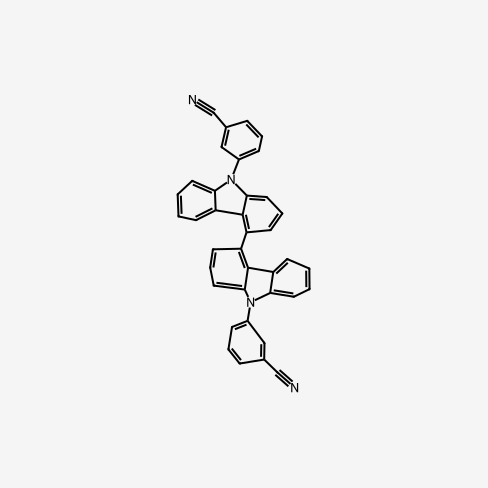 N#Cc1cccc(-n2c3ccccc3c3c(-c4cccc5c4c4ccccc4n5-c4cccc(C#N)c4)cccc32)c1